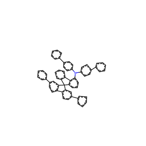 c1ccc(-c2ccc(N(c3ccc(-c4ccccc4)cc3)c3cccc4c3-c3ccccc3C43c4cc(-c5ccccc5)ccc4-c4ccc(-c5ccccc5)cc43)cc2)cc1